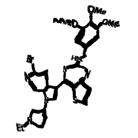 CCN1CCC(n2cc(-c3nc(NCc4cc(OC)c(OC)c(OC)c4)nc4ccsc34)c3cc(Br)ncc32)C1